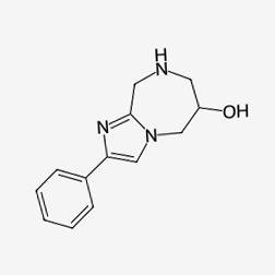 OC1CNCc2nc(-c3ccccc3)cn2C1